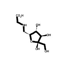 O=C(O)CNC[C@H]1O[C@@](O)(CO)[C@H](O)[C@H]1O